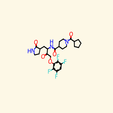 O=C1NCCC1CC(NC(=O)C1CCN(C(=O)C2CCCC2)CC1)C(=O)COc1c(F)c(F)cc(F)c1F